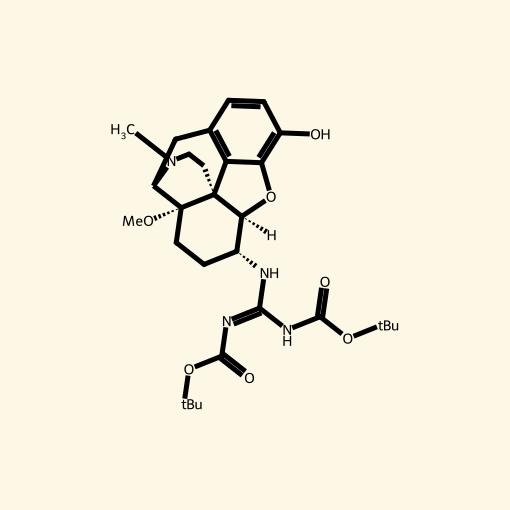 CO[C@@]12CC[C@@H](NC(=NC(=O)OC(C)(C)C)NC(=O)OC(C)(C)C)[C@@H]3Oc4c(O)ccc5c4[C@@]31CCN(C)C2C5